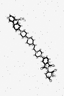 Cn1c2ccncc2c2ccc(N3CCC(N4CCC(CCN5CCN(c6ccc7c(c6)C(=O)N(C6CCC(=O)NC6=O)C7=O)CC5)CC4)CC3)cc21